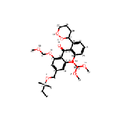 CC[Si](C)(C)OCc1cc(OCOC)c(C(=O)c2c(OCOC)cccc2C2CCCOO2)c(OCOC)c1